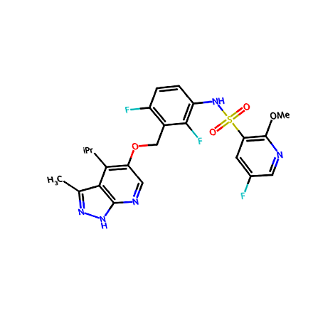 COc1ncc(F)cc1S(=O)(=O)Nc1ccc(F)c(COc2cnc3[nH]nc(C)c3c2C(C)C)c1F